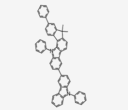 CC1(C)c2cc(-c3ccccc3)ccc2-c2c1ccc1c3cc(-c4ccc5c(c4)c4ccccc4n5-c4ccccc4)ccc3n(-c3ccccc3)c21